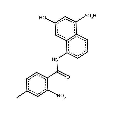 Cc1ccc(C(=O)Nc2cccc3c(S(=O)(=O)O)cc(O)cc23)c([N+](=O)[O-])c1